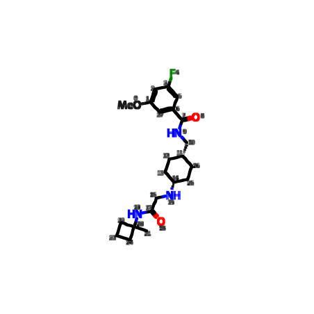 COc1cc(F)cc(C(=O)NC[C@H]2CC[C@@H](NCC(=O)NC3(C)CCC3)CC2)c1